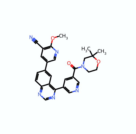 COc1ncc(-c2ccc3ncnc(-c4cncc(C(=O)N5CCOC(C)(C)C5)c4)c3c2)cc1C#N